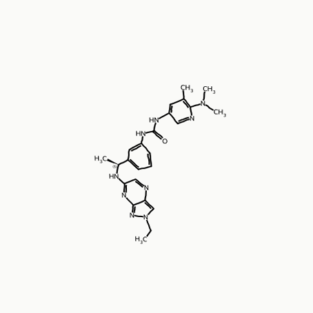 CCn1cc2ncc(N[C@@H](C)c3cccc(NC(=O)Nc4cnc(N(C)C)c(C)c4)c3)nc2n1